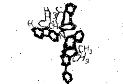 CC1(C)c2ccccc2-c2ccc(N(c3ccc4c(c3)C(C)(C)c3ccccc3-4)c3cc4c(c5ccccc35)C(C)(C)c3cc(-c5ccccc5)ccc3-4)cc21